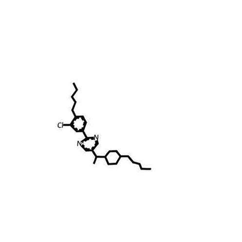 CCCCCc1ccc(-c2ncc(C(C)C3CCC(CCCCC)CC3)cn2)cc1Cl